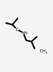 C.CC(C)CNCC(C)C